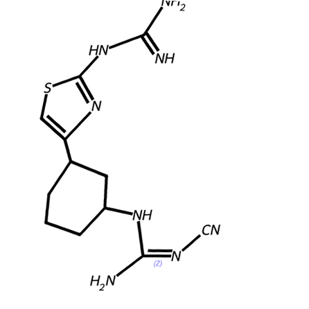 N#C/N=C(/N)NC1CCCC(c2csc(NC(=N)N)n2)C1